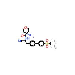 CC(C)S(=O)(=O)c1ccc(-c2ccc(C[C@@H](C#N)NC(=O)C3(N)CCOCC3)cc2)cc1